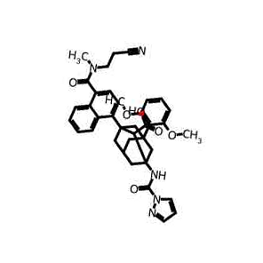 COc1cccc(OC)c1C12CC3CC(NC(=O)n4cccn4)(C1)C(C(=O)O)C(c1ccc(C(=O)N(C)CCC#N)c4ccccc14)(C3)C2